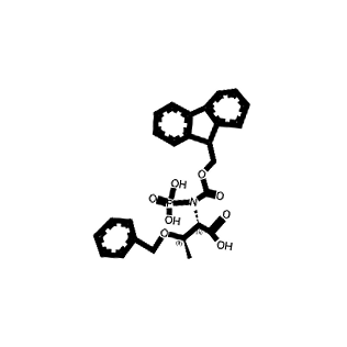 C[C@@H](OCc1ccccc1)[C@@H](C(=O)O)N(C(=O)OCC1c2ccccc2-c2ccccc21)P(=O)(O)O